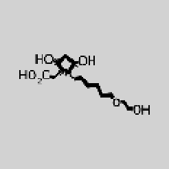 O=C(O)C[C@@H]1[C@@H](C=CCCCCOCCO)[C@H](O)C[C@@H]1O